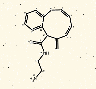 C=C1/C=C\C=C/Cc2ccccc2C1C(=O)NCCN